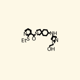 CCSc1ncccc1C(=O)N1CCC2(CCC(Nc3cnn(CCO)c3)CC2)C1